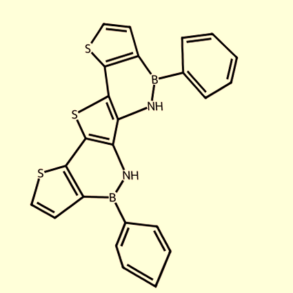 c1ccc(B2Nc3c(sc4c3NB(c3ccccc3)c3ccsc3-4)-c3sccc32)cc1